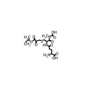 CCC(C)OC(=O)C(=O)CSCC(NC(=O)CCC(N)C(=O)O)C(=O)N(C)C(=O)O